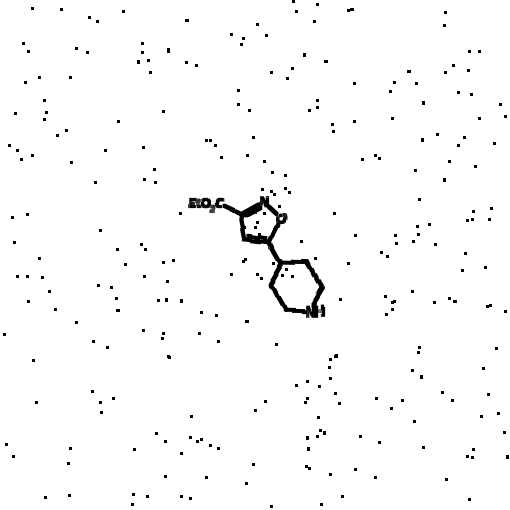 CCOC(=O)c1cc(C2CCNCC2)on1